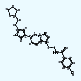 O=C(NCCn1cnc2cc(-c3noc(CCC4CCCC4)n3)ccc21)c1ccc(Cl)cc1